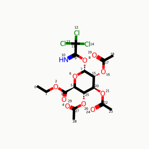 CCOC(=O)[C@H]1O[C@H](OC(=N)C(Cl)(Cl)Cl)[C@H](OC(C)=O)[C@@H](OC(C)=O)[C@@H]1OC(C)=O